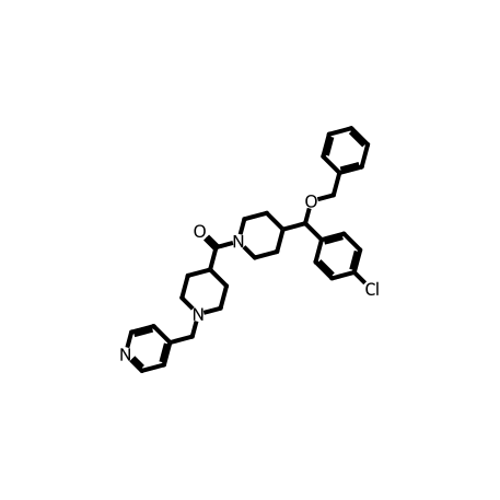 O=C(C1CCN(Cc2ccncc2)CC1)N1CCC(C(OCc2ccccc2)c2ccc(Cl)cc2)CC1